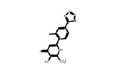 Cc1cc(-c2nnn[nH]2)ccc1-c1cc(=O)c(O)c(C(=O)O)[nH]1